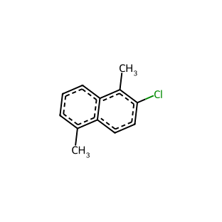 Cc1cccc2c(C)c(Cl)ccc12